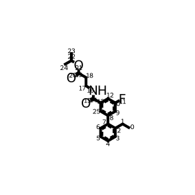 CCc1ccccc1-c1cc(F)cc(C(=O)NCCC(=O)OC(C)C)c1